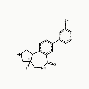 CC(=O)c1cccc(-c2ccc3c(c2)C(=O)NC[C@@H]2CNCC32)c1